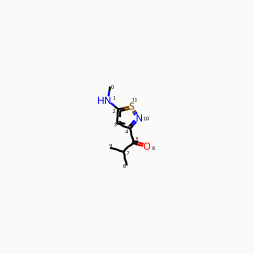 CNc1cc(C(=O)C(C)C)ns1